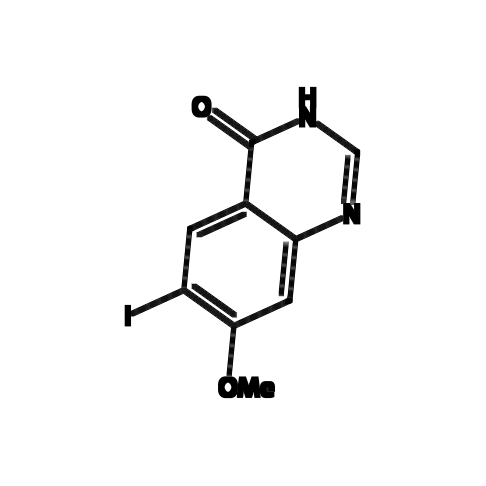 COc1cc2nc[nH]c(=O)c2cc1I